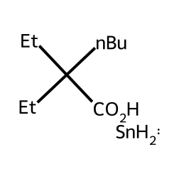 CCCCC(CC)(CC)C(=O)O.[SnH2]